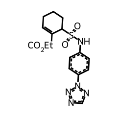 CCOC(=O)C1=CCCCC1S(=O)(=O)Nc1ccc(-n2ncnn2)cc1